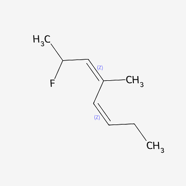 CC/C=C\C(C)=C/C(C)F